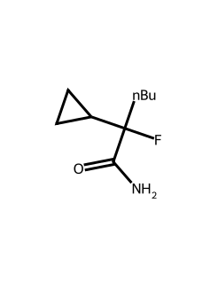 CCCCC(F)(C(N)=O)C1CC1